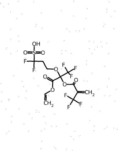 C=COC(=O)C(OCCC(F)(F)S(=O)(=O)O)(OC(=O)C(=C)C(F)(F)F)C(F)(F)F